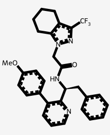 COc1ccc(-c2cccnc2[C@H](Cc2ccccc2)NC(=O)Cn2nc(C(F)(F)F)c3c2CCCC3)cc1